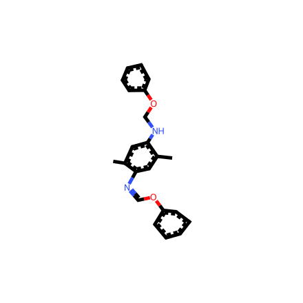 Cc1cc(NCOc2ccccc2)c(C)cc1/N=C\Oc1ccccc1